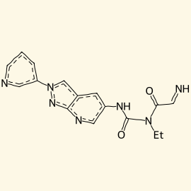 CCN(C(=O)C=N)C(=O)Nc1cnc2nn(-c3cccnc3)cc2c1